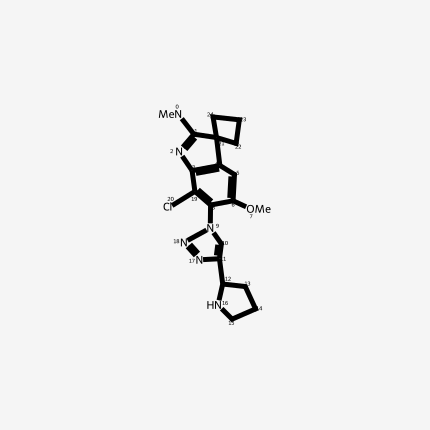 CNC1=Nc2c(cc(OC)c(-n3cc(C4CCCN4)nn3)c2Cl)C12CCC2